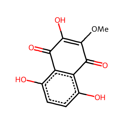 COC1=C(O)C(=O)c2c(O)ccc(O)c2C1=O